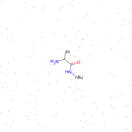 CCCCNC(=O)C(N)C(C)C